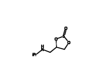 CC(C)NCC1COS(=O)O1